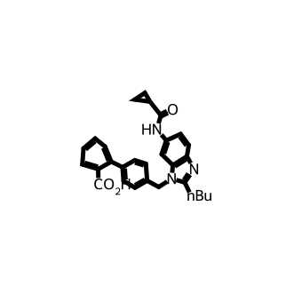 CCCCc1nc2ccc(NC(=O)C3CC3)cc2n1Cc1ccc(-c2ccccc2C(=O)O)cc1